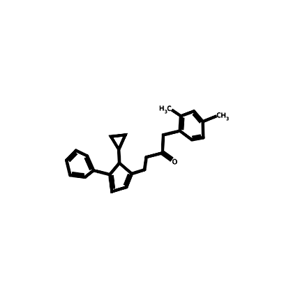 Cc1ccc(CC(=O)CCC2=CC=C(c3ccccc3)C2C2CC2)c(C)c1